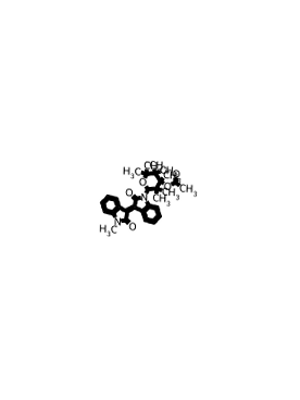 CC(=O)OC1(C)C(C)(C)C(N2C(=O)/C(=C3/C(=O)N(C)c4ccccc43)c3ccccc32)OC(C)(C)C1(C)C